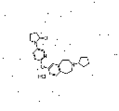 Cl.O=C1CCCN1c1ccc(Oc2ccc3c(c2)CCN(C2CCCC2)CC3)nc1